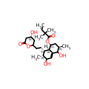 CCC(C)(C)C(=O)O[C@H]1C[C@@H](C)C(O)C2=CC(O)[C@H](C)[C@H](CCC3C[C@@H](O)CC(=O)O3)[C@H]21